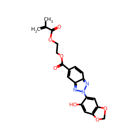 C=C(C)C(=O)OCCOC(=O)c1ccc2nn(-c3cc4c(cc3O)OCO4)nc2c1